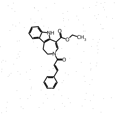 CCOC(=O)C1=CN(C(=O)C=Cc2ccccc2)CCc2c1[nH]c1ccccc21